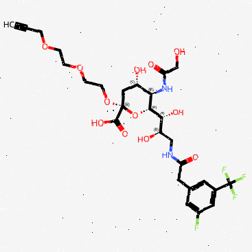 C#CCOCCOCCO[C@]1(C(=O)O)C[C@H](O)[C@@H](NC(=O)CO)[C@H]([C@H](O)[C@H](O)CNC(=O)Cc2cc(F)cc(C(F)(F)F)c2)O1